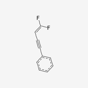 FC(F)=CC#Cc1ccccc1